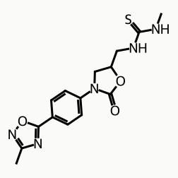 CNC(=S)NCC1CN(c2ccc(-c3nc(C)no3)cc2)C(=O)O1